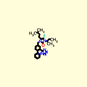 CCC(C)n1c(F)c(CCC(C)C)n(Cc2ccc(-c3ccccc3)c(-c3nnn[nH]3)c2)c1=O